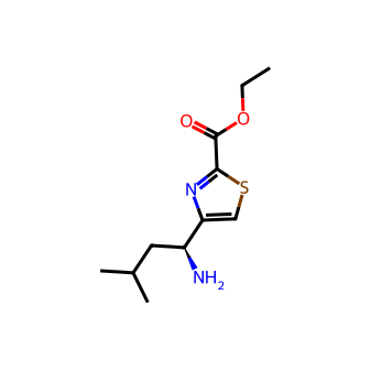 CCOC(=O)c1nc([C@@H](N)CC(C)C)cs1